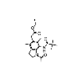 CCOC(=O)Cc1c(C)c2c(c(NC(=O)C(C)(C)C)c1C)N(C(C)=O)CC2